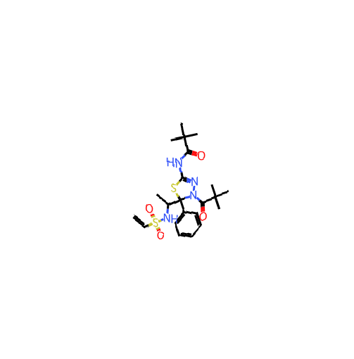 C=CS(=O)(=O)NC(C)C1(c2ccccc2)SC(NC(=O)C(C)(C)C)=NN1C(=O)C(C)(C)C